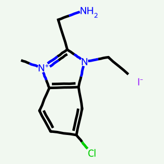 CCn1c(CN)[n+](C)c2ccc(Cl)cc21.[I-]